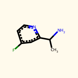 CC(N)c1cc(F)ccn1